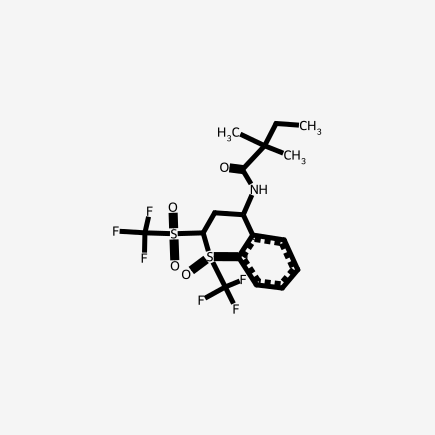 CCC(C)(C)C(=O)NC(CC(S(=O)(=O)C(F)(F)F)S(=O)(=O)C(F)(F)F)c1ccccc1